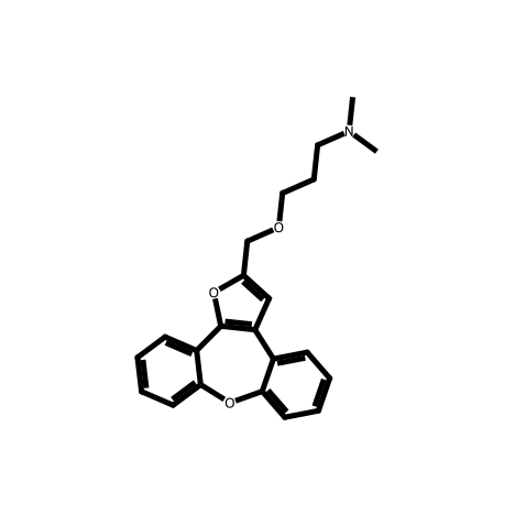 CN(C)CCCOCc1cc2c(o1)-c1ccccc1Oc1ccccc1-2